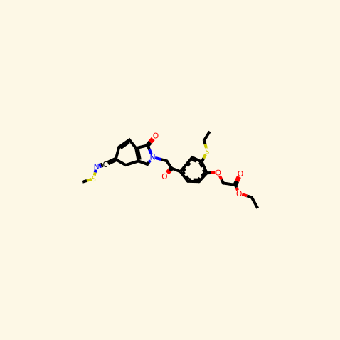 CCOC(=O)COc1ccc(C(=O)CN2CC3=C(C=CC(=C=NSC)C3)C2=O)cc1SCC